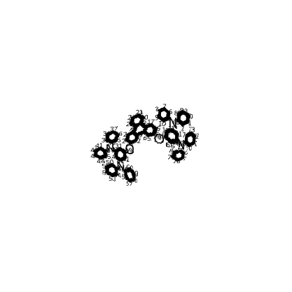 c1ccc(N(c2ccccc2)c2cc(Oc3ccc4c5ccccc5c5ccc(Oc6cc(N(c7ccccc7)c7ccccc7)cc(N(c7ccccc7)c7ccccc7)c6)cc5c4c3)cc(N(c3ccccc3)c3ccccc3)c2)cc1